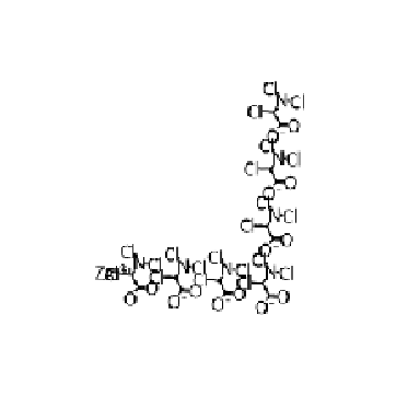 O=C([O-])C(Cl)N(Cl)Cl.O=C([O-])C(Cl)N(Cl)Cl.O=C([O-])C(Cl)N(Cl)Cl.O=C([O-])C(Cl)N(Cl)Cl.O=C([O-])C(Cl)N(Cl)Cl.O=C([O-])C(Cl)N(Cl)Cl.O=C([O-])C(Cl)N(Cl)Cl.[Al+3].[Zr+4]